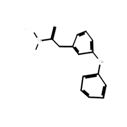 CN(C)C(=O)Cc1cccc(Nc2ccccc2)c1